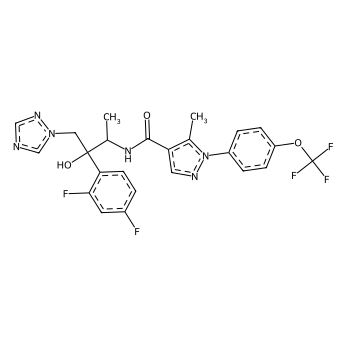 Cc1c(C(=O)NC(C)C(O)(Cn2cncn2)c2ccc(F)cc2F)cnn1-c1ccc(OC(F)(F)F)cc1